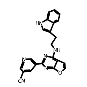 N#Cc1cncc(-c2nc(NCCc3c[nH]c4ccccc34)c3ccoc3n2)c1